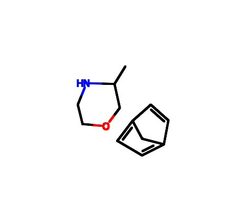 C1=CC2=CC=C1C2.CC1COCCN1